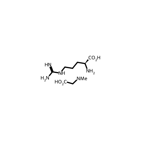 CNCC(=O)O.N=C(N)NCCC[C@H](N)C(=O)O